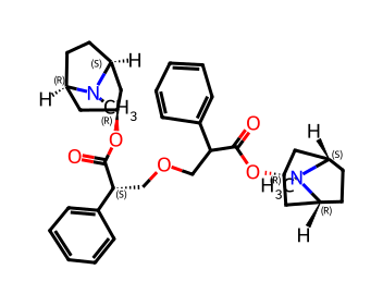 CN1[C@@H]2CC[C@H]1C[C@@H](OC(=O)C(COC[C@@H](C(=O)O[C@H]1C[C@H]3CC[C@@H](C1)N3C)c1ccccc1)c1ccccc1)C2